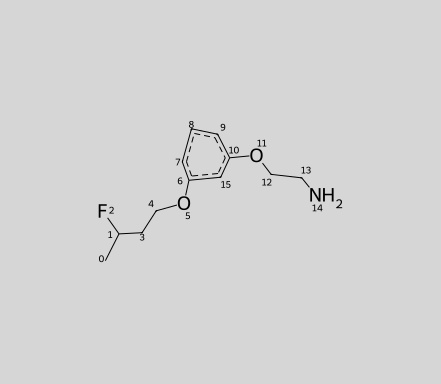 CC(F)CCOc1cccc(OCCN)c1